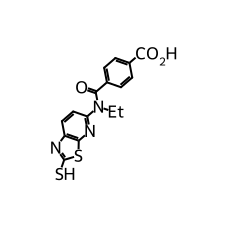 CCN(C(=O)c1ccc(C(=O)O)cc1)c1ccc2nc(S)sc2n1